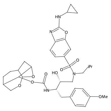 COc1ccc(C[C@H](NC(=O)OC2C3CCC4CC2OC4OC3)[C@H](O)CN(CC(C)C)S(=O)(=O)c2ccc3nc(NC4CC4)oc3c2)cc1